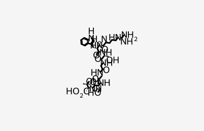 C[C@@H](O)[C@H](NC(=O)[C@H](CO)NC(=O)CNC(=O)CNC(=O)[C@H](CO)NC(=O)[C@H](Cc1c[nH]c2ccccc12)NC(=O)[C@@H](N)CCCNC(=N)N)C(=O)O